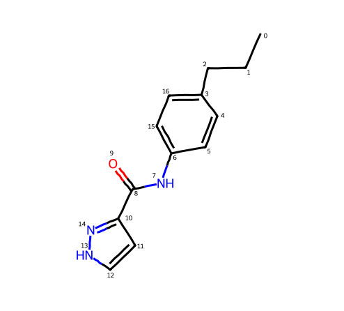 CCCc1ccc(NC(=O)c2cc[nH]n2)cc1